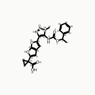 CC(OC(=O)Nc1c(-c2cc3cc(C4(C(=O)O)CC4)oc3o2)nnn1C)c1ccccc1